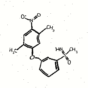 Cc1cc([N+](=O)[O-])c(C)cc1Oc1cccc(S(C)(=N)=O)c1